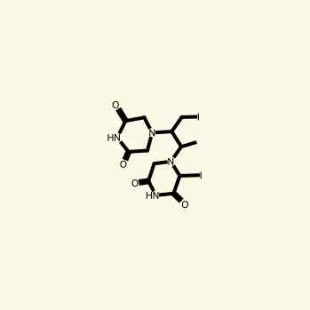 CC(C(CI)N1CC(=O)NC(=O)C1)N1CC(=O)NC(=O)C1I